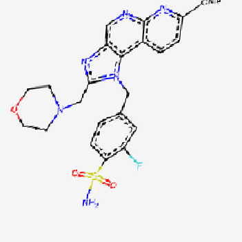 COc1ccc2c(ncc3nc(CN4CCOCC4)n(Cc4ccc(S(N)(=O)=O)c(F)c4)c32)n1